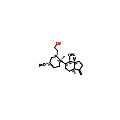 C=C1CC[C@@H]2[C@H](OC(C)=O)[C@H]([C@@]3(C)CC[C@H](OC(C)=O)C[C@@H]3CCO)CC[C@]12C